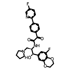 O=C(N[C@H](CN1CCCC1)[C@H](O)c1cc(F)c2c(c1)OCCO2)C(=O)c1ccc(-c2ccc(F)cn2)cc1